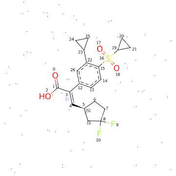 O=C(O)/C(=C/[C@H]1CCC(F)(F)C1)c1ccc(S(=O)(=O)C2CC2)c(C2CC2)c1